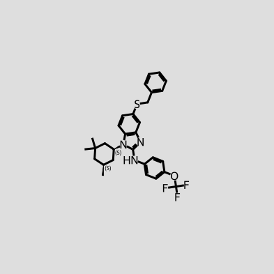 C[C@@H]1C[C@H](n2c(Nc3ccc(OC(F)(F)F)cc3)nc3cc(SCc4ccccc4)ccc32)CC(C)(C)C1